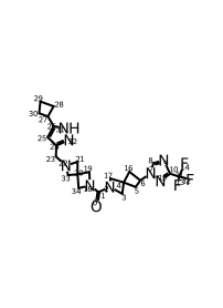 O=C(N1CC2(CC(n3cnc(C(F)(F)F)n3)C2)C1)N1CC2(CN(Cc3cc(C4CCC4)[nH]n3)C2)C1